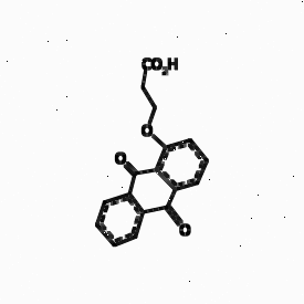 O=C(O)CCOc1cccc2c1C(=O)c1ccccc1C2=O